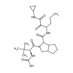 CCCC(NC(=O)C1C2CCCC2CN1C(=O)[C@@H](NC(=O)O)C(C)(C)C)C(=O)C(=O)NC1CC1